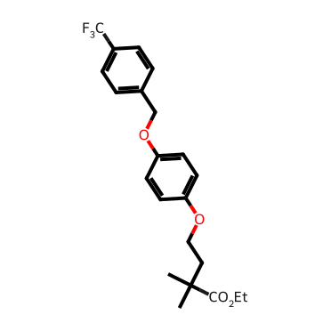 CCOC(=O)C(C)(C)CCOc1ccc(OCc2ccc(C(F)(F)F)cc2)cc1